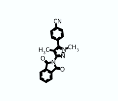 Cc1c(N2C(=O)c3ccccc3C2=O)nn(C)c1-c1ccc(C#N)cc1